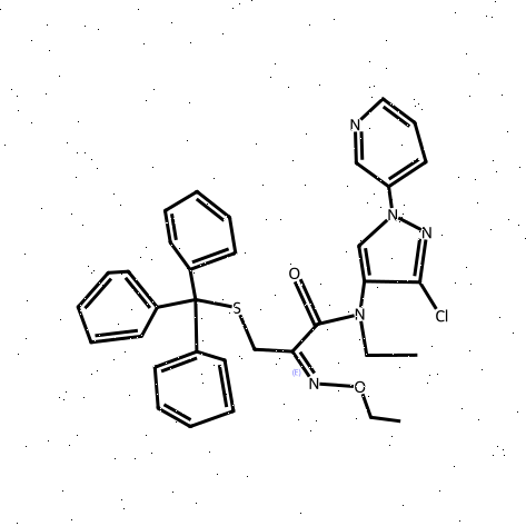 CCO/N=C(/CSC(c1ccccc1)(c1ccccc1)c1ccccc1)C(=O)N(CC)c1cn(-c2cccnc2)nc1Cl